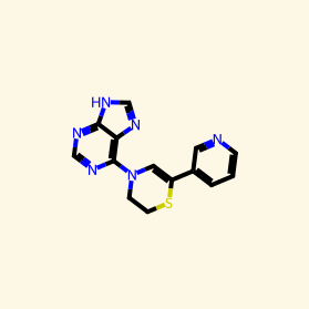 C1=C(c2cccnc2)SCCN1c1ncnc2[nH]cnc12